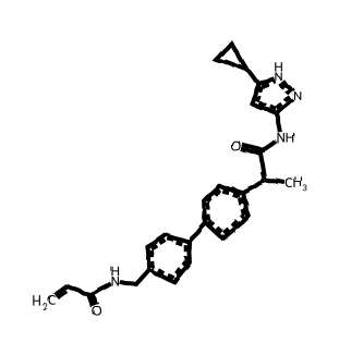 C=CC(=O)NCc1ccc(-c2ccc(C(C)C(=O)Nc3cc(C4CC4)[nH]n3)cc2)cc1